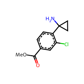 COC(=O)c1ccc(C2(N)CC2)c(Cl)c1